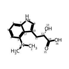 CN(C)c1cccc2[nH]cc(C[C@H](O)C(=O)O)c12